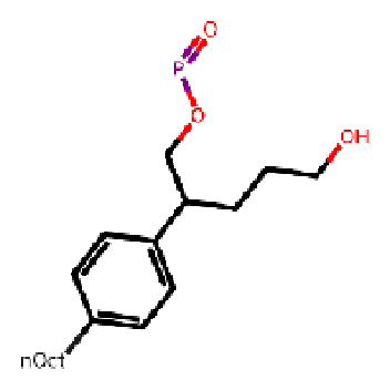 CCCCCCCCc1ccc(C(CCCO)COP=O)cc1